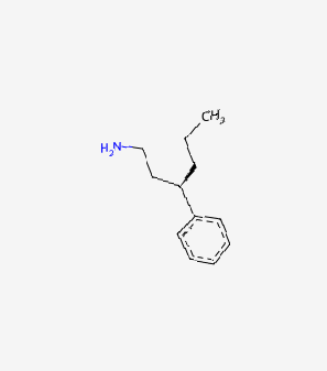 CCC[C@H](CCN)c1ccccc1